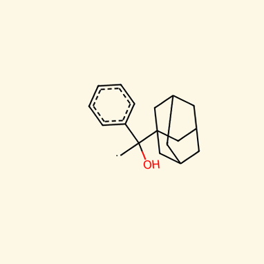 [CH2]C(O)(c1ccccc1)C12CC3CC(CC(C3)C1)C2